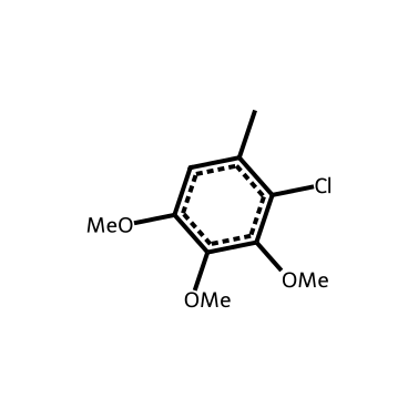 COc1cc(C)c(Cl)c(OC)c1OC